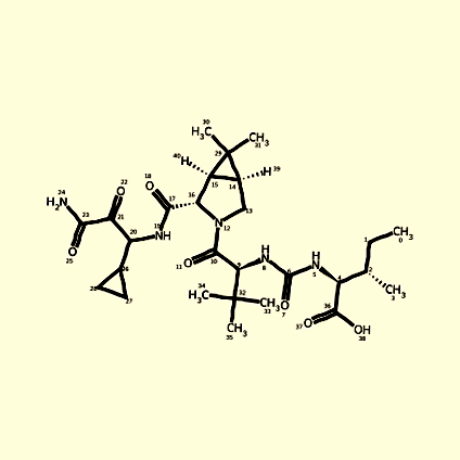 CC[C@H](C)[C@H](NC(=O)N[C@H](C(=O)N1C[C@H]2[C@@H]([C@H]1C(=O)NC(C(=O)C(N)=O)C1CC1)C2(C)C)C(C)(C)C)C(=O)O